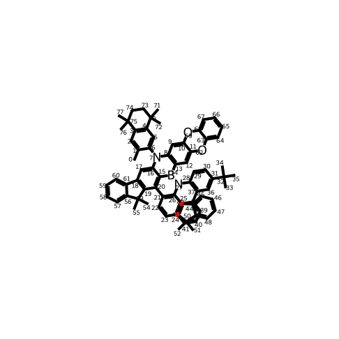 Cc1cc2c(cc1N1c3cc4c(cc3B3c5c1cc1c(c5-c5ccc6c(c5N3c3ccc(C(C)(C)C)cc3-c3ccccc3)-c3ccccc3C6(C)C)C(C)(C)c3ccccc3-1)Oc1ccccc1O4)C(C)(C)CCC2(C)C